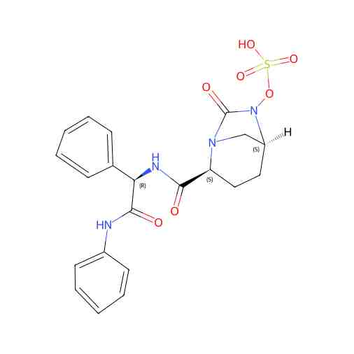 O=C(Nc1ccccc1)[C@H](NC(=O)[C@@H]1CC[C@H]2CN1C(=O)N2OS(=O)(=O)O)c1ccccc1